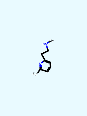 CC(C)NCCc1cccc(C(F)(F)F)n1